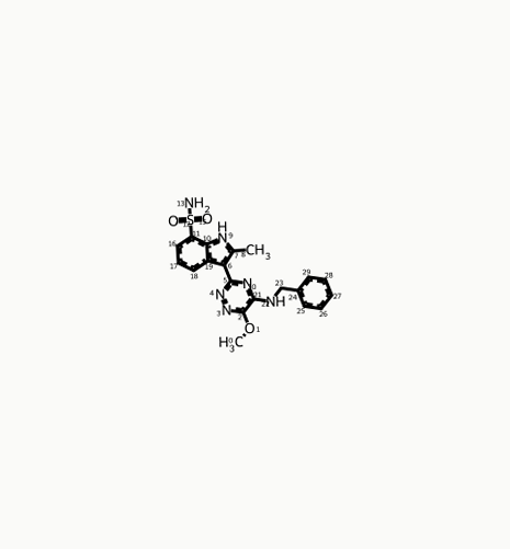 COc1nnc(-c2c(C)[nH]c3c(S(N)(=O)=O)cccc23)nc1NCc1ccccc1